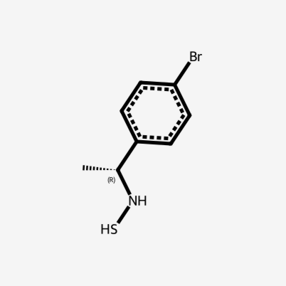 C[C@@H](NS)c1ccc(Br)cc1